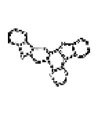 c1ccc2c(c1)nc1c3cc4c(cc3c3ncccc3n21)oc1ccccc14